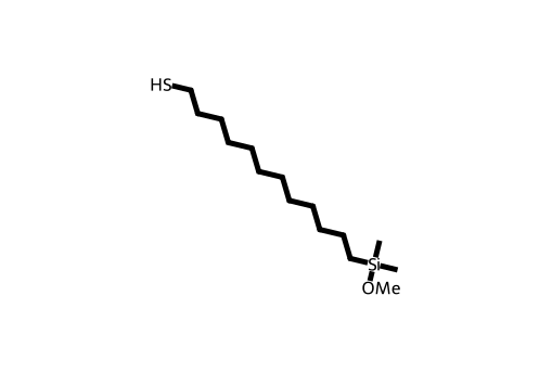 CO[Si](C)(C)CCCCCCCCCCCCS